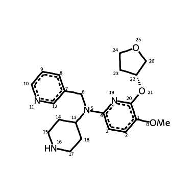 COc1ccc(N(Cc2cccnc2)C2CCNCC2)nc1O[C@@H]1CCOC1